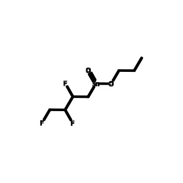 CCC[O][Sn](=[O])[CH2]C(F)C(F)CF